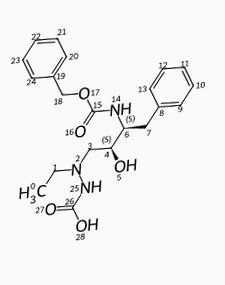 CCN(C[C@H](O)[C@H](Cc1ccccc1)NC(=O)OCc1ccccc1)NC(=O)O